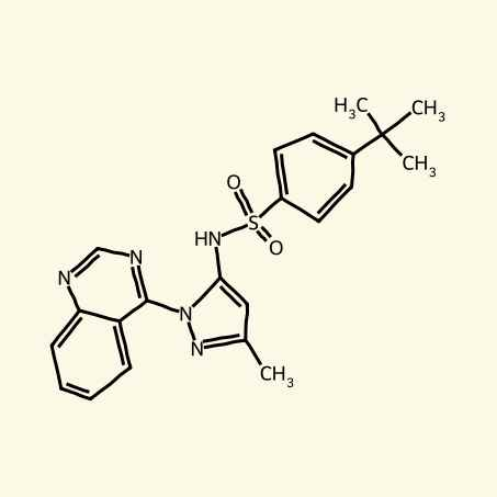 Cc1cc(NS(=O)(=O)c2ccc(C(C)(C)C)cc2)n(-c2ncnc3ccccc23)n1